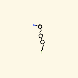 N#Cc1cccc(CCC2CCC(C3CCC(C/C=C/CF)CC3)CC2)c1